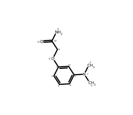 CN(C)c1cccc(OCC(N)=O)c1